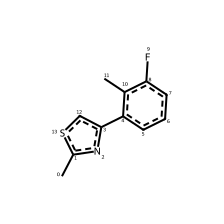 Cc1nc(-c2cccc(F)c2C)cs1